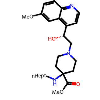 CCCCCCCNC1(C(=O)OC)CCN(C[C@H](O)c2ccnc3ccc(OC)cc23)CC1